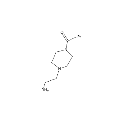 CC(C)C(=O)N1CCN(CCN)CC1